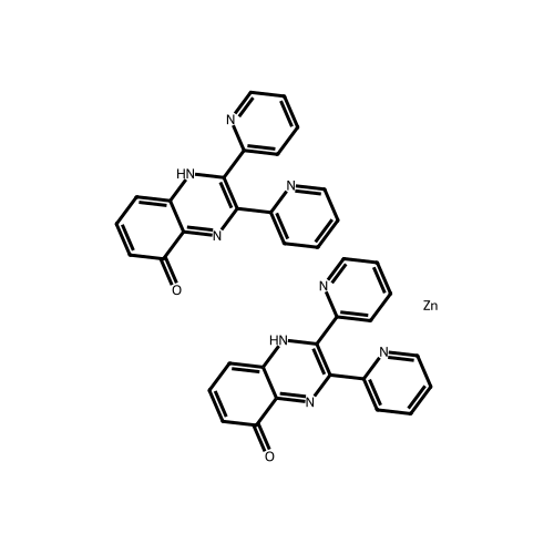 O=c1cccc2[nH]c(-c3ccccn3)c(-c3ccccn3)nc1-2.O=c1cccc2[nH]c(-c3ccccn3)c(-c3ccccn3)nc1-2.[Zn]